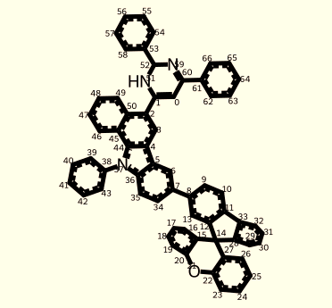 C1=C(c2cc3c4cc(-c5ccc6c(c5)C5(c7ccccc7Oc7ccccc75)c5ccccc5-6)ccc4n(-c4ccccc4)c3c3ccccc23)NC(c2ccccc2)N=C1c1ccccc1